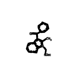 CCCCCCCCCCCn1c(C)c(C(=O)c2ccccc2)c2ccccc21